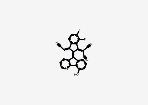 N#C/C=C1/C(=C2\c3cccnc3-c3c(O)cccc32)C(=C(C#N)C#N)c2c1ccc(F)c2F